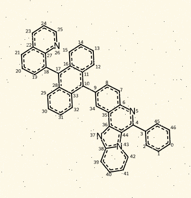 c1ccc(-c2nc3ccc(-c4c5ccccc5c(-c5cccc6cccnc56)c5ccccc45)cc3c3nc4ccccn4c23)cc1